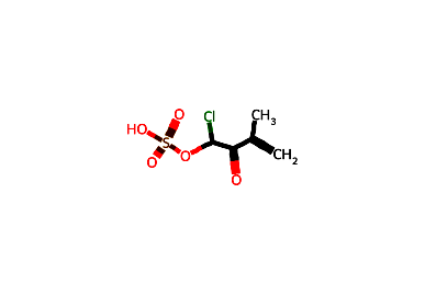 C=C(C)C(=O)C(Cl)OS(=O)(=O)O